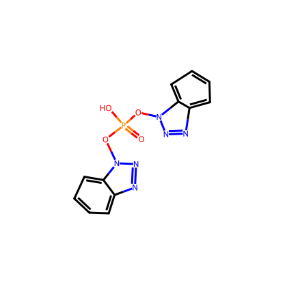 O=P(O)(On1nnc2ccccc21)On1nnc2ccccc21